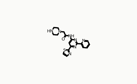 O=C(CN1CCNCC1)Nc1cc(-c2nccs2)nc(-c2ccccn2)n1